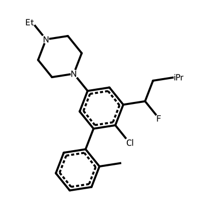 CCN1CCN(c2cc(-c3ccccc3C)c(Cl)c(C(F)CC(C)C)c2)CC1